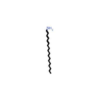 CCCCCCCCCCCCC=CC=CC=CN